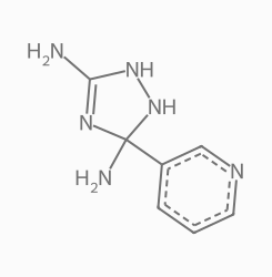 NC1=NC(N)(c2cccnc2)NN1